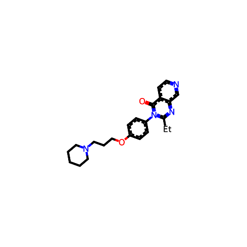 CCc1nc2cnccc2c(=O)n1-c1ccc(OCCCN2CCCCC2)cc1